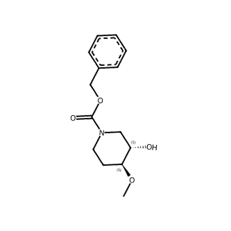 CO[C@H]1CCN(C(=O)OCc2ccccc2)C[C@@H]1O